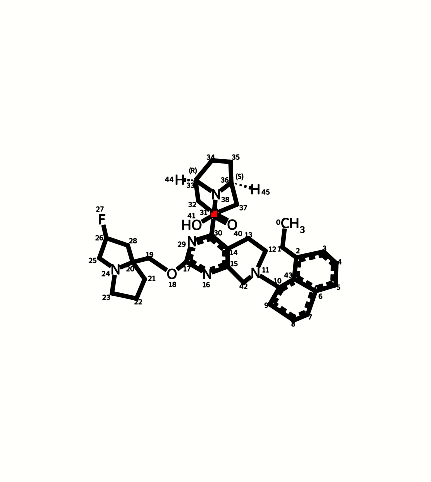 CCc1cccc2cccc(N3CCc4c(nc(OCC56CCCN5CC(F)C6)nc4N4C[C@H]5CC[C@@H](C4)N5C(=O)O)C3)c12